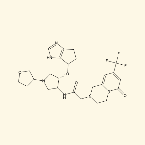 O=C(CN1CCn2c(cc(C(F)(F)F)cc2=O)C1)NC1CN(C2CCOC2)C[C@@H]1OC1CCc2nc[nH]c21